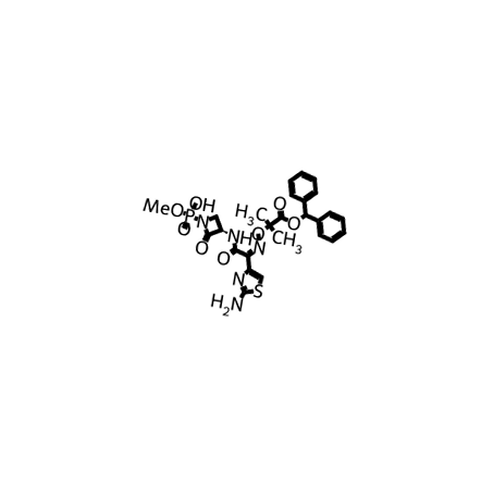 COP(=O)(O)N1C[C@H](NC(=O)C(=NOC(C)(C)C(=O)OC(c2ccccc2)c2ccccc2)c2csc(N)n2)C1=O